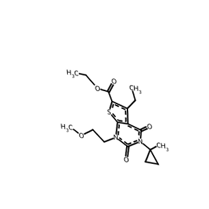 CCOC(=O)c1sc2c(c1CC)c(=O)n(C1(C)CC1)c(=O)n2CCOC